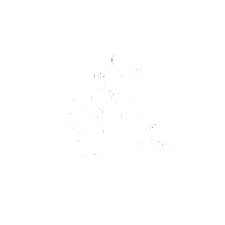 CNC(=O)Nc1ccc(-c2nc(N[C@@H](C)CO)cc(C3(S(=O)(=O)c4ccccc4)CC3)n2)cc1